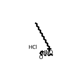 CCCCCCCCCCCCCCCCC(C)(C)C(=O)NN(CCC)CN1CCCC1=O.Cl